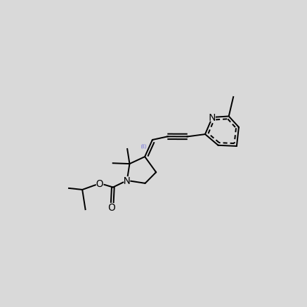 Cc1cccc(C#C/C=C2\CCN(C(=O)OC(C)C)C2(C)C)n1